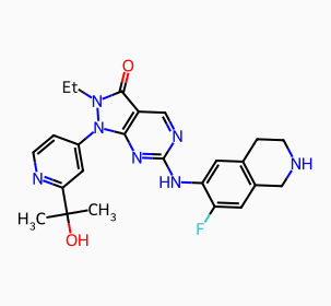 CCn1c(=O)c2cnc(Nc3cc4c(cc3F)CNCC4)nc2n1-c1ccnc(C(C)(C)O)c1